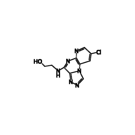 OCCNc1nc2ncc(Cl)cc2n2cnnc12